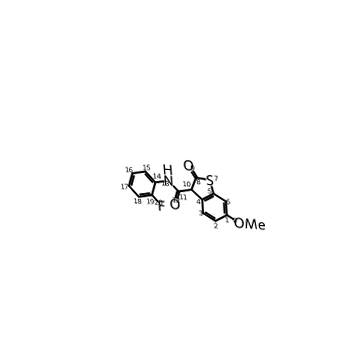 COc1ccc2c(c1)SC(=O)C2C(=O)Nc1ccccc1F